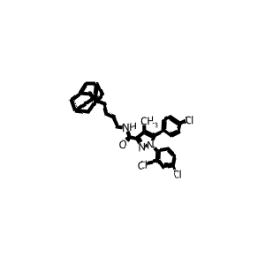 Cc1c(C(=O)NCCCCC23CC4CC(CC(C4)C2)C3)nn(-c2ccc(Cl)cc2Cl)c1-c1ccc(Cl)cc1